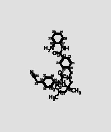 CN(C)CC(C)(C)CN(Cc1ccc(C(=O)Nc2ccccc2N)cc1)C(=O)Nc1ccc(CC#N)cc1